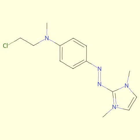 CN(CCCl)c1ccc(/N=N/c2n(C)cc[n+]2C)cc1